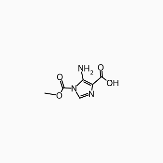 COC(=O)n1cnc(C(=O)O)c1N